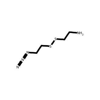 [N-]=[N+]=NCCSSCCN